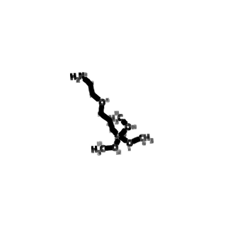 CO[Si](CCCOCCN)(OC)OC